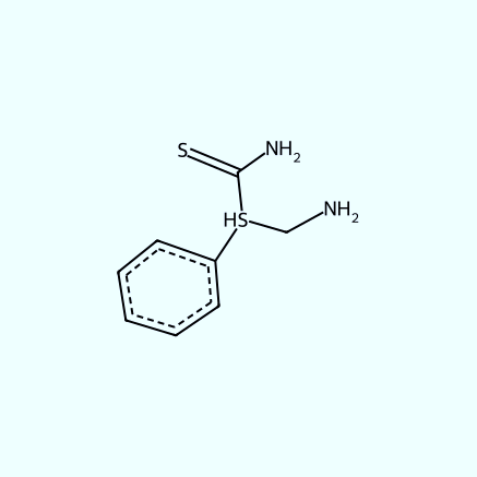 NC[SH](C(N)=S)c1ccccc1